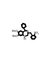 CCN1CC(Cc2ccccc2[N+](=O)[O-])N=C(c2ccccc2)c2cc(OC)c(OC)cc21